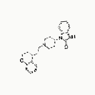 O=c1[nH]c2ccccc2n1C1CCN(CCC2CCOc3ccccc32)CC1